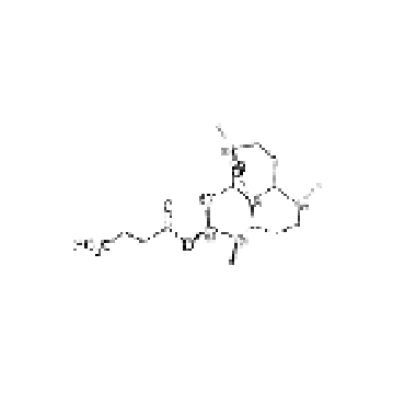 C[C@@H]1CCC2[C@@H](C)[C@@H](OC(=O)CCC(=O)O)OC3O[C@]4(C)CCC1[C@]32OO4